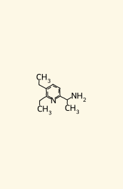 CCc1ccc(C(C)N)nc1CC